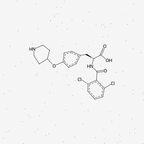 O=C(N[C@@H](Cc1ccc(OC2CCNCC2)cc1)C(=O)O)c1c(Cl)cccc1Cl